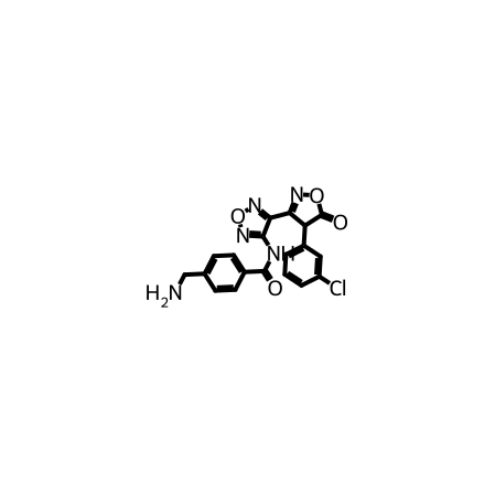 NCc1ccc(C(=O)Nc2nonc2C2=NOC(=O)C2c2cccc(Cl)c2)cc1